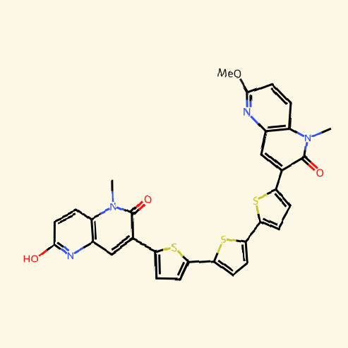 COc1ccc2c(cc(-c3ccc(-c4ccc(-c5ccc(-c6cc7nc(O)ccc7n(C)c6=O)s5)s4)s3)c(=O)n2C)n1